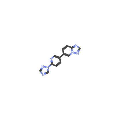 c1ncn(-c2ccc(-c3ccc4ncnn4c3)cn2)n1